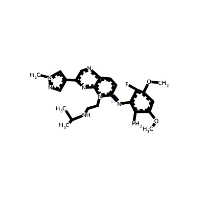 COc1cc(OC)c(P)c(/N=c2\ccc3ncc(-c4cnn(C)c4)nc3n2CCNC(C)C)c1F